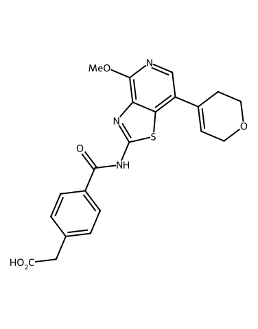 COc1ncc(C2=CCOCC2)c2sc(NC(=O)c3ccc(CC(=O)O)cc3)nc12